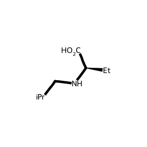 CC[C@@H](NCC(C)C)C(=O)O